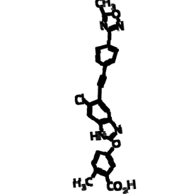 Cc1nc(-c2ccc(C#Cc3cc4nc(Oc5ccc(C)c(C(=O)O)c5)[nH]c4cc3Cl)cc2)no1